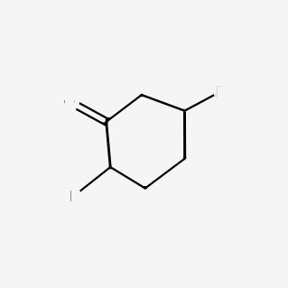 O=C1CC(F)CCC1F